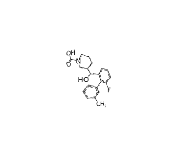 Cc1cccc(-c2c(F)cccc2C(O)C2CCCN(C(=O)O)C2)c1